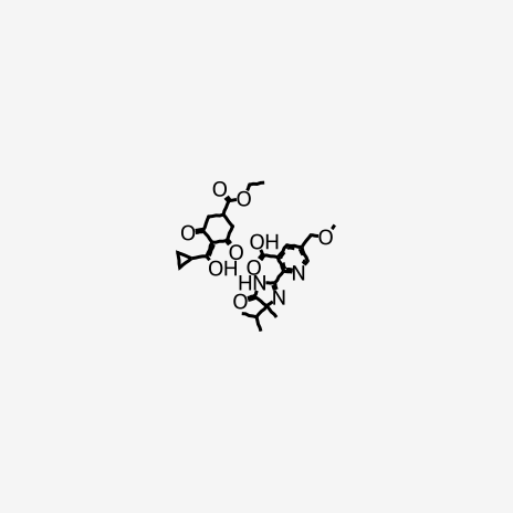 CCOC(=O)C1CC(=O)C(=C(O)C2CC2)C(=O)C1.COCc1cnc(C2=NC(C)(C(C)C)C(=O)N2)c(C(=O)O)c1